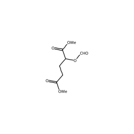 COC(=O)CCC(OC=O)C(=O)OC